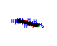 Nc1nc(N)c(C(=O)NCCCCc2ccc(OCCOCCOCCNC(=O)NCCCCNC(=O)NCCOCCOCCOc3ccc(CCCCNC(=O)c4nc(Cl)c(N)nc4N)cc3)cc2)nc1Cl